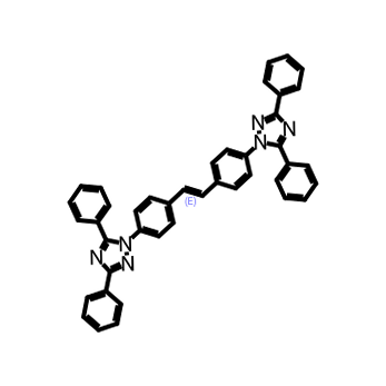 C(=C\c1ccc(-n2nc(-c3ccccc3)nc2-c2ccccc2)cc1)/c1ccc(-n2nc(-c3ccccc3)nc2-c2ccccc2)cc1